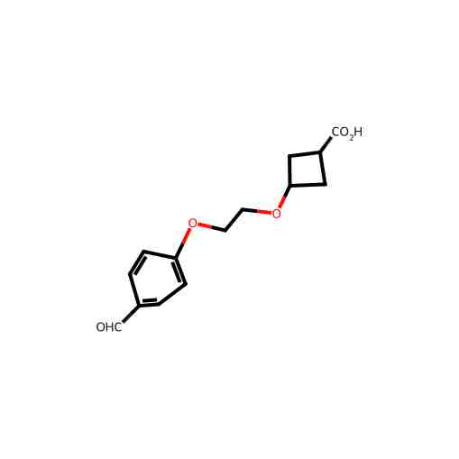 O=Cc1ccc(OCCOC2CC(C(=O)O)C2)cc1